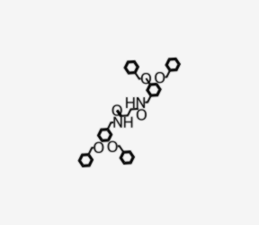 O=C(CCC(=O)NCc1ccc(OCc2ccccc2)c(OCc2ccccc2)c1)NCc1ccc(OCc2ccccc2)c(OCc2ccccc2)c1